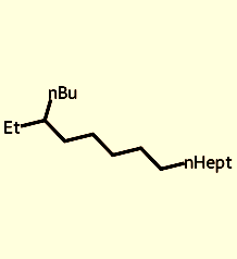 [CH2]CCCCCCCCCCCC(CC)CCC[CH2]